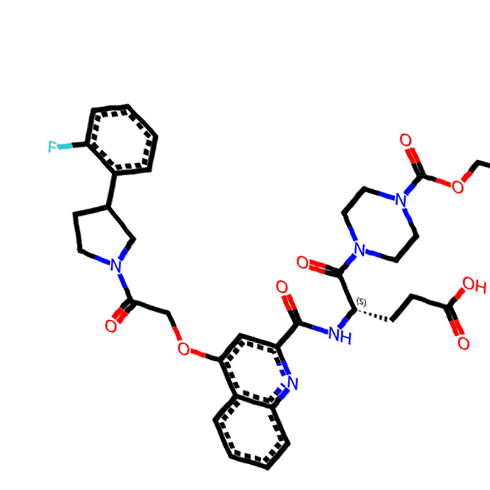 CCOC(=O)N1CCN(C(=O)[C@H](CCC(=O)O)NC(=O)c2cc(OCC(=O)N3CCC(c4ccccc4F)C3)c3ccccc3n2)CC1